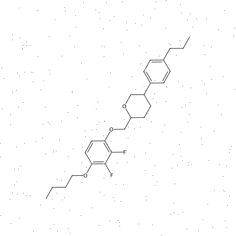 CCCCOc1ccc(OCC2CCC(c3ccc(CCC)cc3)CO2)c(F)c1F